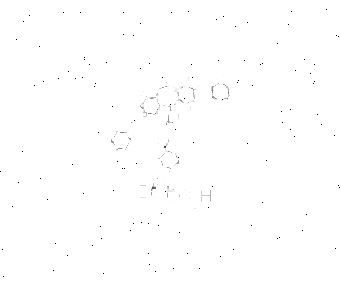 CCOC(Cc1ccc(OCCOC2c3ccc(Cc4ccccc4)cc3C=Cc3ccc(CCc4ccccc4)cc32)cc1)C(=O)O